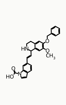 COc1cc2c(cc1OCc1ccccc1)CCNC2C=Cc1ccc2ccn(C(=O)O)c2c1